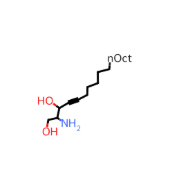 CCCCCCCCCCCCCC#CC(O)C(N)CO